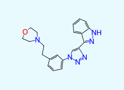 c1cc(CCN2CCOCC2)cc(-n2cc(-c3n[nH]c4ccccc34)nn2)c1